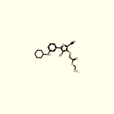 CCOC(=O)COc1c(C#N)sc(-c2cccc(NC3CCCCC3)c2)c1Br